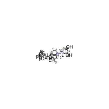 C=C1/C(=C\C=C2/CCC[C@@]3(C)C2CC[C@@H]3[C@H](C)CCCC(O)(C(F)(F)F)C(F)(F)F)C[C@@H](O)C[C@@H]1O